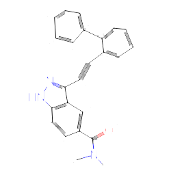 CN(C)C(=O)c1ccc2[nH]nc(C#Cc3ccccc3-c3ccccc3)c2c1